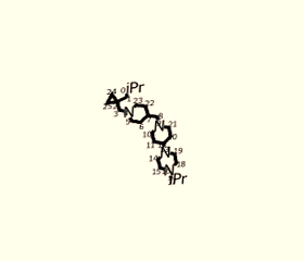 CC(C)CC1(CN2CCC(CN3CCC(N4CCN(C(C)C)CC4)CC3)CC2)CC1